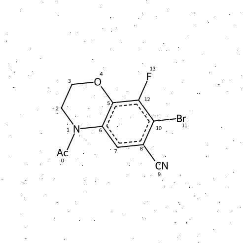 CC(=O)N1CCOc2c1cc(C#N)c(Br)c2F